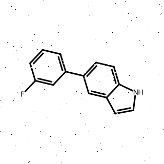 Fc1cccc(-c2ccc3[nH]c[c]c3c2)c1